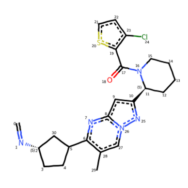 C=N[C@H]1CCC(c2nc3cc([C@@H]4CCCCN4C(=O)c4sccc4Cl)nn3cc2C)C1